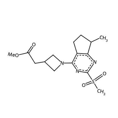 COC(=O)CC1CN(c2nc(S(C)(=O)=O)nc3c2CCC3C)C1